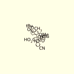 COc1cc(C)c2c(c1C(C)(CC(=O)O)c1nc3ccc(C#N)cc3n1C(=O)OC(C)(C)C)CCN2C(=O)OC(C)(C)C